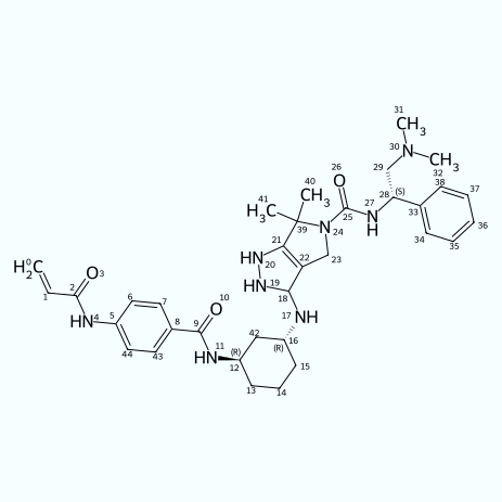 C=CC(=O)Nc1ccc(C(=O)N[C@@H]2CCC[C@@H](NC3NNC4=C3CN(C(=O)N[C@H](CN(C)C)c3ccccc3)C4(C)C)C2)cc1